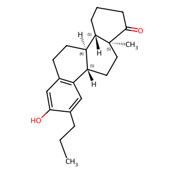 CCCc1cc2c(cc1O)CC[C@@H]1[C@@H]2CC[C@]2(C)C(=O)CCC[C@@H]12